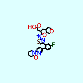 CN(C(=O)C(CC(=O)O)CC1CCOCC1)c1nc(-c2cc(F)ccc2-c2ccc(N3CCCCC3=O)nc2)cs1